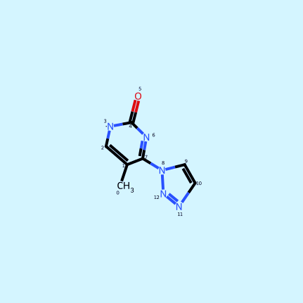 CC1=C[N]C(=O)N=C1n1ccnn1